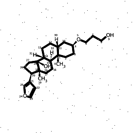 C[C@]12CC[C@H](OCCCO)C[C@H]1CC[C@@H]1[C@@H]2CC[C@]2(C)[C@@H](c3ccoc3)CC[C@]12O